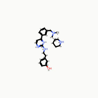 CCN(Cc1cccc(-c2ccnc(NCCc3cccc(O)c3)n2)c1)C[C@H]1CCCNC1